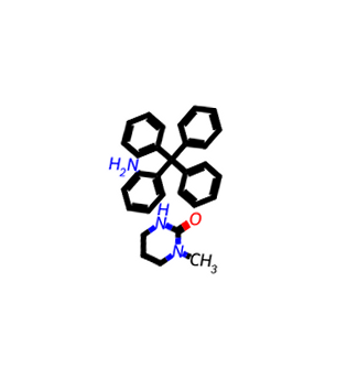 CN1CCCNC1=O.Nc1ccccc1C(c1ccccc1)(c1ccccc1)c1ccccc1